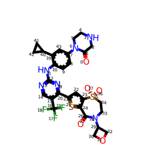 O=C1CNCCN1c1ccc(Nc2ncc(C(F)(F)F)c(-c3cc4c(s3)C(=O)N(C3COC3)CCS4(=O)=O)n2)c(C2CC2)c1